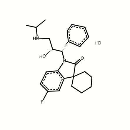 CC(C)NC[C@@H](O)[C@H](c1ccccc1)N1C(=O)C2(CCCCC2)c2cc(F)ccc21.Cl